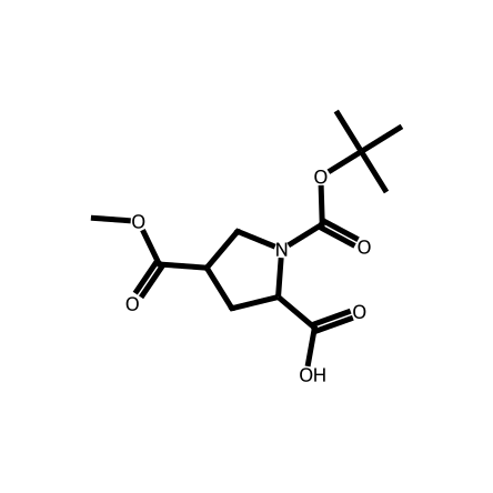 COC(=O)C1CC(C(=O)O)N(C(=O)OC(C)(C)C)C1